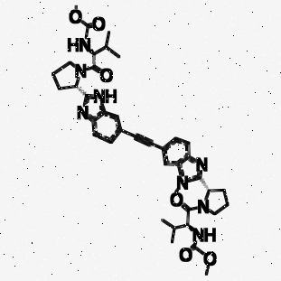 COC(=O)N[C@H](C(=O)N1CCC[C@H]1c1nc2ccc(C#Cc3ccc4nc([C@@H]5CCCN5C(=O)[C@@H](NC(=O)OC)C(C)C)n(C)c4c3)cc2[nH]1)C(C)C